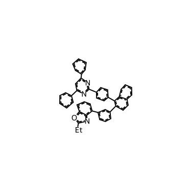 CCc1nc2c(-c3cccc(-c4ccc5ccccc5c4-c4ccc(-c5nc(-c6ccccc6)cc(-c6ccccc6)n5)cc4)c3)cccc2o1